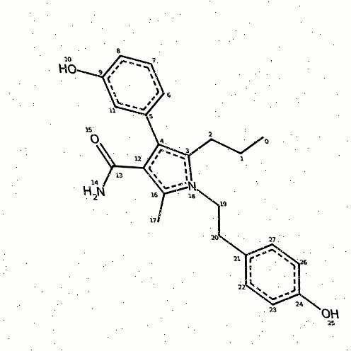 CCCc1c(-c2cccc(O)c2)c(C(N)=O)c(C)n1CCc1ccc(O)cc1